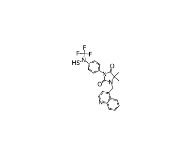 CC1(C)C(=O)N(c2ccc(N(S)C(F)(F)F)cc2)C(=O)N1Cc1ccnc2ccccc12